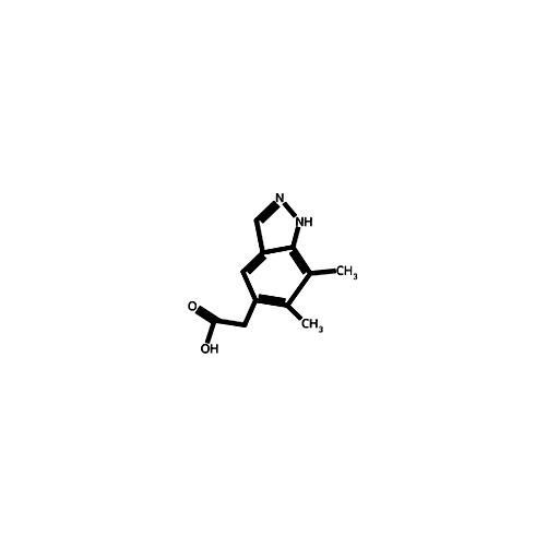 Cc1c(CC(=O)O)cc2cn[nH]c2c1C